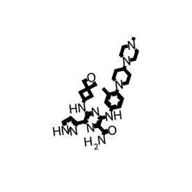 Cc1cc(Nc2nc(NC3CC4(COC4)C3)c(-c3cc[nH]n3)nc2C(N)=O)ccc1N1CCC(N2CCN(C)CC2)CC1